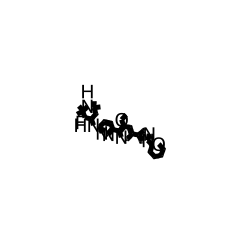 COc1cc(-c2cnn(C3CCCCO3)c2)cnc1-c1ccc(NC2CC(C)(C)NC(C)(C)C2F)nn1